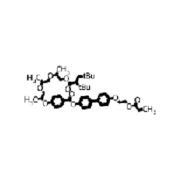 C=CC(=O)OCCOc1ccc(-c2ccc(OC(=O)c3ccc(OC(C)COC(C)COC(C)COC(=O)C(CC(C)(C)C)C(C)(C)C)cc3)cc2)cc1